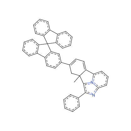 CC12CC(c3ccc4c(c3)C3(c5ccccc5-c5ccccc53)c3ccccc3-4)=CC=C1c1cccc3nc(-c4ccccc4)c2n13